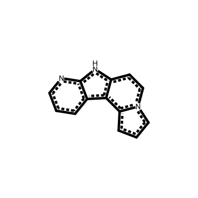 c1cnc2[nH]c3ccn4cccc4c3c2c1